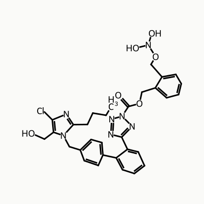 CCCCc1nc(Cl)c(CO)n1Cc1ccc(-c2ccccc2-c2nnn(C(=O)OCc3ccccc3CON(O)O)n2)cc1